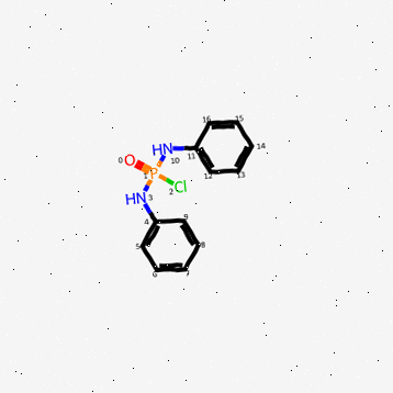 O=P(Cl)(Nc1ccccc1)Nc1ccccc1